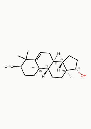 CC1(C)C2=CC[C@H]3[C@@H]4CC[C@H](O)[C@@]4(C)CC[C@@H]3[C@@]2(C)CCC1C=O